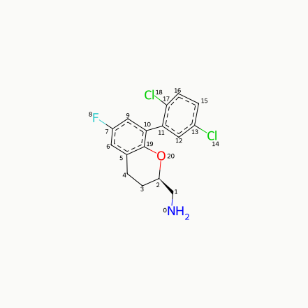 NC[C@H]1CCc2cc(F)cc(-c3cc(Cl)ccc3Cl)c2O1